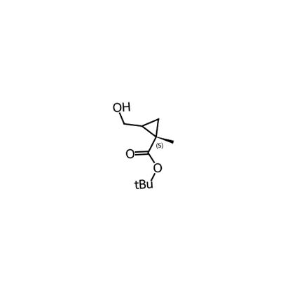 CC(C)(C)OC(=O)[C@@]1(C)CC1CO